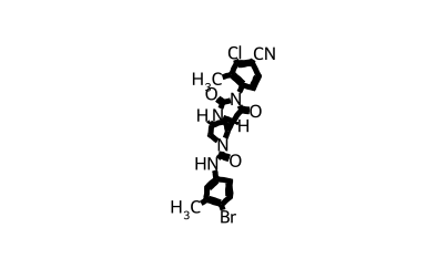 Cc1cc(NC(=O)N2C[C@H]3CC2[C@H]2C(=O)N(c4ccc(C#N)c(Cl)c4C)C(=O)N32)ccc1Br